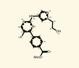 COC(=O)c1ccc(-c2nc(Nc3cnn(CCO)c3)ncc2F)cc1